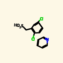 O=S(=O)(O)Cc1cc(Cl)ccc1Cl.c1ccncc1